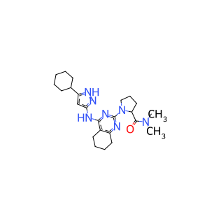 CN(C)C(=O)C1CCCN1c1nc2c(c(Nc3cc(C4CCCCC4)[nH]n3)n1)CCCC2